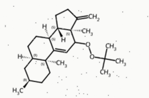 C=C1CC[C@H]2[C@@H]3CC[C@@H]4C[C@H](C)CC[C@]4(C)C3=CC(OOC(C)(C)C)[C@]12C